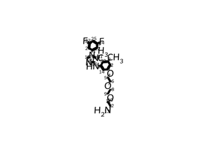 Cc1cc(OCCOCCOCCN)cc(Nc2ncn(-c3cc(F)cc(F)c3)n2)c1C